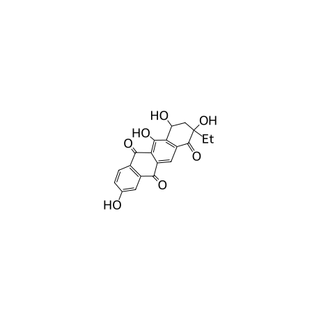 CCC1(O)CC(O)c2c(cc3c(c2O)C(=O)c2ccc(O)cc2C3=O)C1=O